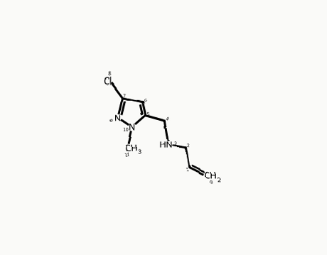 C=CCNCc1cc(Cl)nn1C